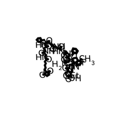 CC[C@@]1(O)C(=O)OCc2c1cc1n(c2=O)Cc2c-1nc1cc(F)c(C)c3c1c2[C@@H](N(CC(N)=O)C(=O)[C@H](Cc1ccccc1)NC(=O)CNC(=O)CNC(=O)CNC(=O)[C@H](Cc1ccccc1)NC(=O)CNC(=O)CNC(=O)CCCCCN1C(=O)C=CC1=O)CC3